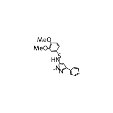 COc1ccc(SNc2cc(-c3ccccc3)nn2C)cc1OC